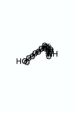 O=C(O)CCOCCOCCOCCOCCOCCS(=O)(=O)c1cccc2c1CN(C1CCC(=O)NC1=O)C2=O